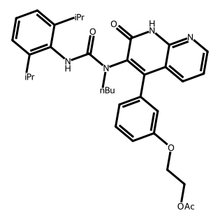 CCCCN(C(=O)Nc1c(C(C)C)cccc1C(C)C)c1c(-c2cccc(OCCOC(C)=O)c2)c2cccnc2[nH]c1=O